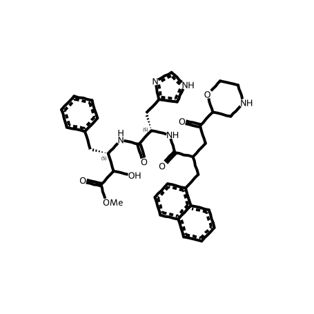 COC(=O)C(O)[C@H](Cc1ccccc1)NC(=O)[C@H](Cc1c[nH]cn1)NC(=O)C(CC(=O)C1CNCCO1)Cc1cccc2ccccc12